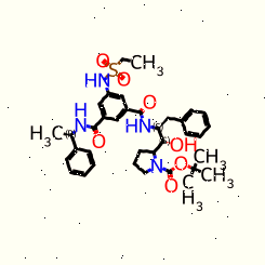 CCS(=O)(=O)Nc1cc(C(=O)N[C@@H](Cc2ccccc2)[C@H](O)C2CCCN2C(=O)OC(C)(C)C)cc(C(=O)N[C@H](C)c2ccccc2)c1